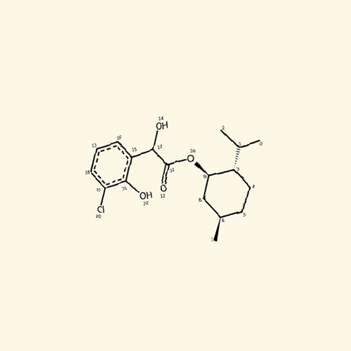 CC(C)[C@@H]1CC[C@@H](C)C[C@H]1OC(=O)C(O)c1cccc(Cl)c1O